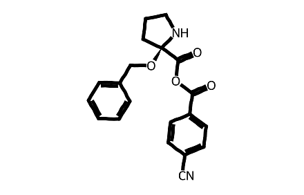 N#Cc1ccc(C(=O)OC(=O)[C@]2(OCc3ccccc3)CCCN2)cc1